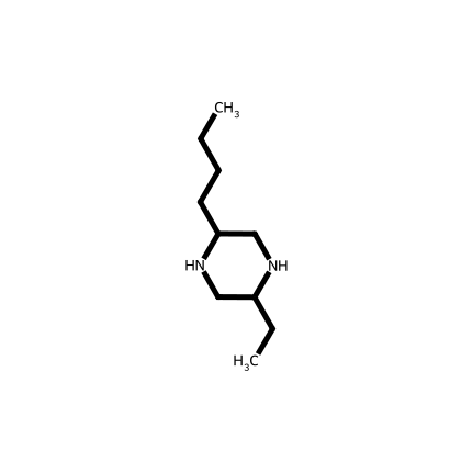 CCCCC1CNC(CC)CN1